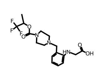 CC(OC(=O)N1CCN(Cc2ccccc2NCC(=O)O)CC1)C(F)(F)F